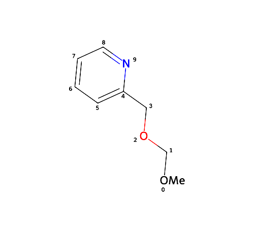 COCOCc1ccccn1